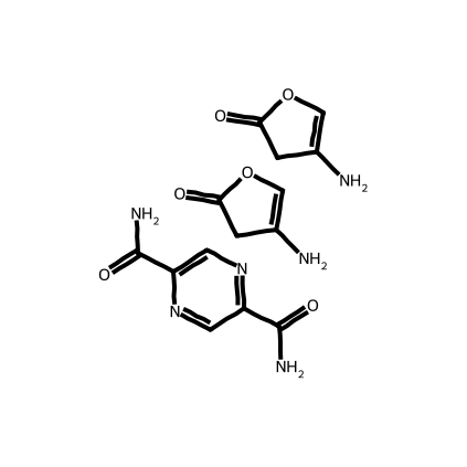 NC(=O)c1cnc(C(N)=O)cn1.NC1=COC(=O)C1.NC1=COC(=O)C1